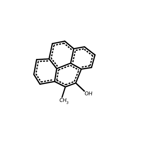 Cc1c(O)c2cccc3ccc4cccc1c4c32